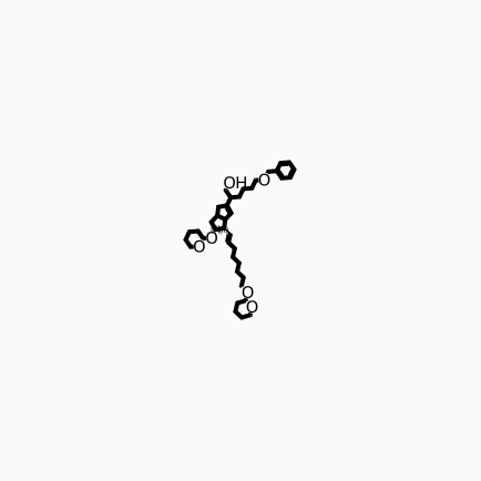 OCC(CCCCOCc1ccccc1)C1=CC2C(C1)C[C@@H](OC1CCCCO1)[C@@H]2C=CCCCCCCOC1CCCCO1